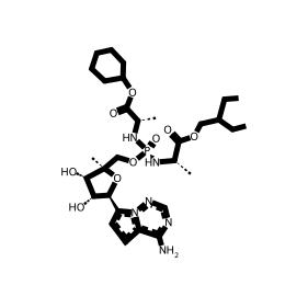 CCC(CC)COC(=O)[C@H](C)N[P@](=O)(N[C@@H](C)C(=O)OC1CCCCC1)OC[C@@]1(C)O[C@@H](c2ccc3c(N)ncnn23)[C@H](O)[C@@H]1O